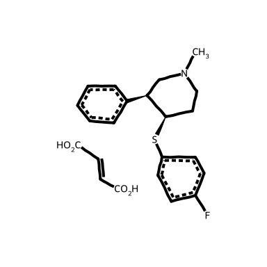 CN1CC[C@@H](Sc2ccc(F)cc2)[C@@H](c2ccccc2)C1.O=C(O)/C=C/C(=O)O